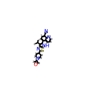 CC(C)c1c(-c2ccc(C#N)c3ncccc23)[nH]c2sc(C3CCN(C4COC4)CC3)nc12